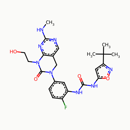 CNc1ncc2c(n1)N(CCO)C(=O)N(c1ccc(F)c(NC(=O)Nc3cc(C(C)(C)C)no3)c1)C2